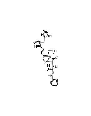 O=C(CNc1ccccc1)NC1C(=O)N2C(C(=O)O)=C(CSc3nnnn3Cc3nnn[nH]3)CS[C@@H]12